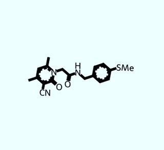 CSc1ccc(CNC(=O)Cn2c(C)cc(C)c(C#N)c2=O)cc1